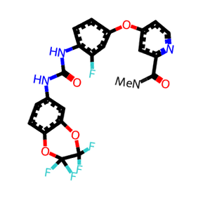 CNC(=O)c1cc(Oc2ccc(NC(=O)Nc3ccc4c(c3)OC(F)(F)C(F)(F)O4)c(F)c2)ccn1